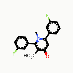 Cn1c(-c2cccc(F)c2)cc(=O)c(C(=O)O)c1-c1cccc(F)c1